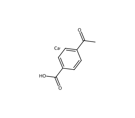 CC(=O)c1ccc(C(=O)O)cc1.[Ca]